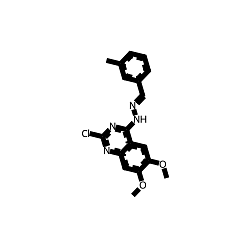 COc1cc2nc(Cl)nc(N/N=C/c3cccc(C)c3)c2cc1OC